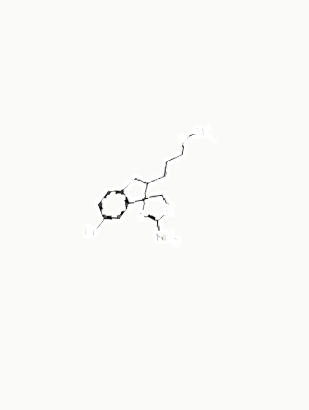 COCCCC1Cc2ccc(Br)cc2C12COC(N)=N2